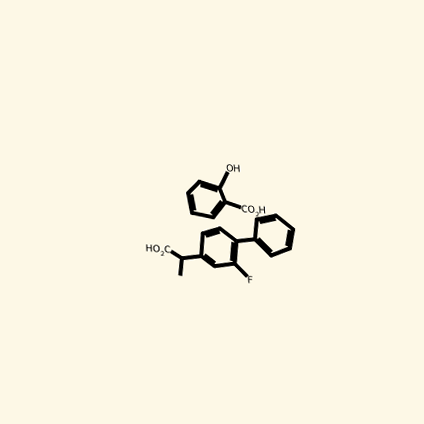 CC(C(=O)O)c1ccc(-c2ccccc2)c(F)c1.O=C(O)c1ccccc1O